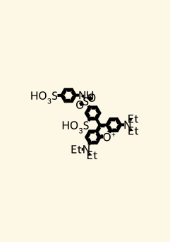 CCN(CC)c1ccc2c(-c3ccc(S(=O)(=O)Nc4ccc(S(=O)(=O)O)cc4)cc3S(=O)(=O)O)c3ccc(N(CC)CC)cc3[o+]c2c1